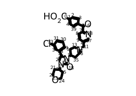 O=C(O)c1ccc(C(=O)c2ccc(CN3CCC(N4C(=O)N(C5CCOCC5)CC4c4cccc(Cl)c4)CC3)cn2)cc1